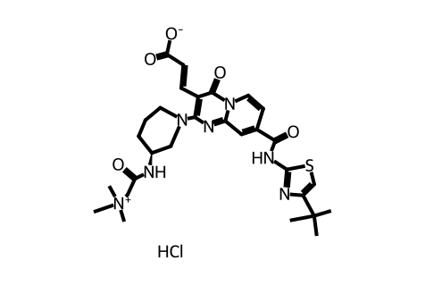 CC(C)(C)c1csc(NC(=O)c2ccn3c(=O)c(C=CC(=O)[O-])c(N4CCC[C@H](NC(=O)C[N+](C)(C)C)C4)nc3c2)n1.Cl